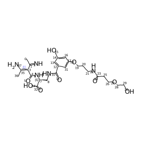 CC(=N)/C(C(=O)N[C@@H](CNC(=O)c1cc(O)cc(OCCCNC(=O)CCOCCO)c1)C(=O)O)=C(/C)N